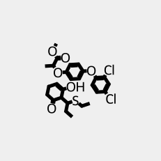 CCSC(CC)C1C(=O)CCC=C1O.COC(=O)C(C)Oc1ccc(Oc2ccc(Cl)cc2Cl)cc1